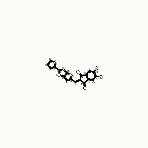 O=C1C(=Cc2cc3oc(-c4cccs4)nc3s2)C(=O)c2cc(Cl)c(Cl)cc21